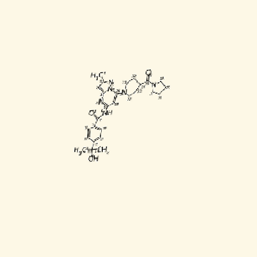 Cc1cc2nc(NC(=O)c3ccc(C(C)(C)O)cc3)cc(N3CCC(C(=O)N4CCCC4)CC3)n2n1